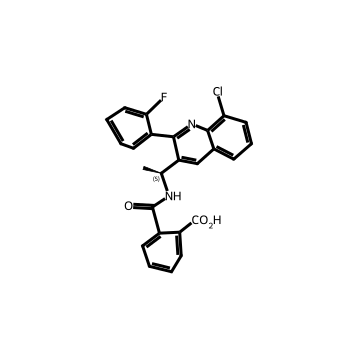 C[C@H](NC(=O)c1ccccc1C(=O)O)c1cc2cccc(Cl)c2nc1-c1ccccc1F